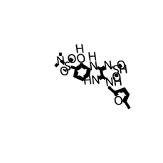 Cc1ccc(CNC(=N)/C(=N\[SH](=O)=O)Nc2cccc(S(=O)(=O)N(C)C)c2O)o1